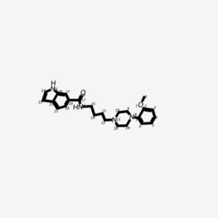 COc1ccccc1N1CCN(CCCCNC(=O)c2ccc3cc[nH]c3c2)CC1